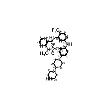 CN(c1nccnc1CNc1nc(Nc2ccc(N3CCC(N4CCNCC4)CC3)cc2)ncc1C(F)(F)F)S(C)(=O)=O